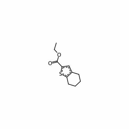 CCOC(=O)c1cc2c(s1)CCCC2